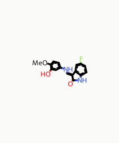 COc1ccc(N/C=C2/C(=O)Nc3ccc(F)cc32)cc1O